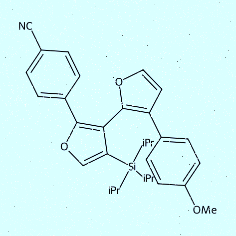 COc1ccc(-c2ccoc2-c2c([Si](C(C)C)(C(C)C)C(C)C)coc2-c2ccc(C#N)cc2)cc1